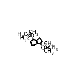 C[Si](C)(C)OC1=CCc2c(O[Si](C)(C)C)cccc21